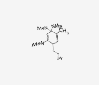 CNC1=CC(NC)(NC)C(C)=CC1CCC(C)C